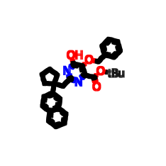 CC(C)(C)OC(=O)c1nc(CC2(c3ccc4ccccc4c3)CCCC2)nc(O)c1OCc1ccccc1